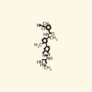 CN/C=C(\C=N)Nc1ncc2cc(-c3cc(C(C)NC(=O)c4cccc(C(C)(C)C#N)c4)ccc3C)ccc2n1